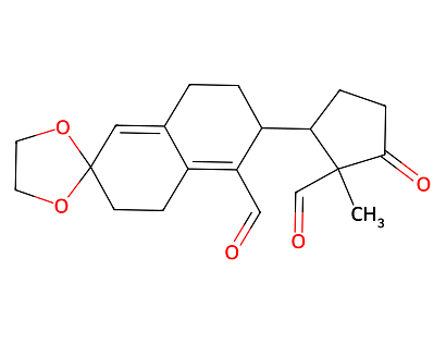 CC1(C=O)C(=O)CCC1C1CCC2=CC3(CCC2=C1C=O)OCCO3